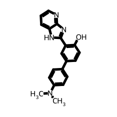 CN(C)c1ccc(-c2ccc(O)c(-c3nc4ncccc4[nH]3)c2)cc1